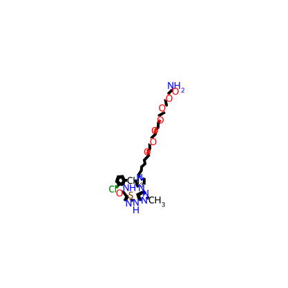 Cc1nc(Nc2ncc(C(=O)Nc3c(C)cccc3Cl)s2)cc(N2CCN(CCCCCCOCCOCCOCCOCCOCCOCC(N)=O)CC2)n1